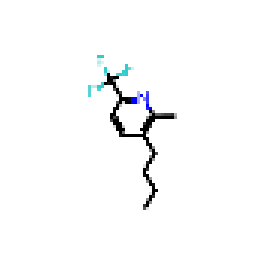 CCCCc1ccc(C(F)(F)F)nc1C